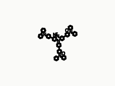 c1ccc(N2c3ccccc3Oc3cc(-c4ccc(N(c5ccc(-c6ccc7c(c6)Oc6ccccc6N7c6ccccc6)cc5)c5ccc(-c6ccc(-n7c8ccccc8c8ccccc87)cc6)c6nsnc56)cc4)ccc32)cc1